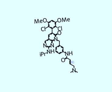 COc1cc(OC)c(Cl)c(-c2cc3cnc(NC(C)C)nc3n(Cc3cccc(NC(=O)/C=C/CN(C)C)c3)c2=O)c1Cl